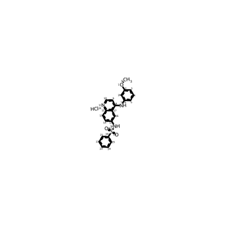 COc1cccc(Nc2ccnc3ccc(NS(=O)(=O)c4ccccc4)cc23)c1.Cl